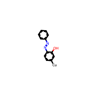 Oc1c[c]([Cu])ccc1/N=N/c1ccccc1